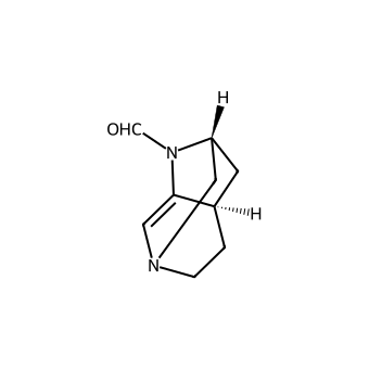 O=CN1C2=CN3CC[C@@H]2C[C@@H]1C3